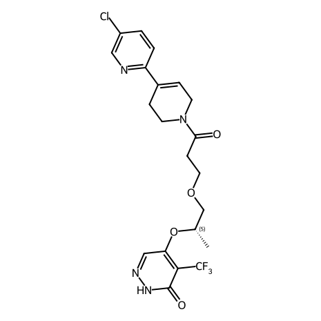 C[C@@H](COCCC(=O)N1CC=C(c2ccc(Cl)cn2)CC1)Oc1cn[nH]c(=O)c1C(F)(F)F